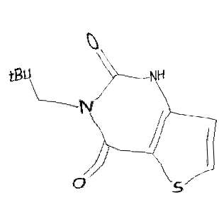 CC(C)(C)Cn1c(=O)[nH]c2ccsc2c1=O